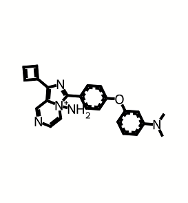 CN(C)c1cccc(Oc2ccc(C3=NC(C4=CC=C4)=C4C=NC=C[N+]34N)cc2)c1